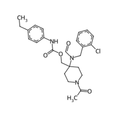 CCc1ccc(NC(=O)OCC2(N(C=O)Cc3ccccc3Cl)CCN(C(C)=O)CC2)cc1